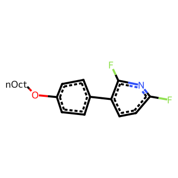 CCCCCCCCOc1ccc(-c2ccc(F)nc2F)cc1